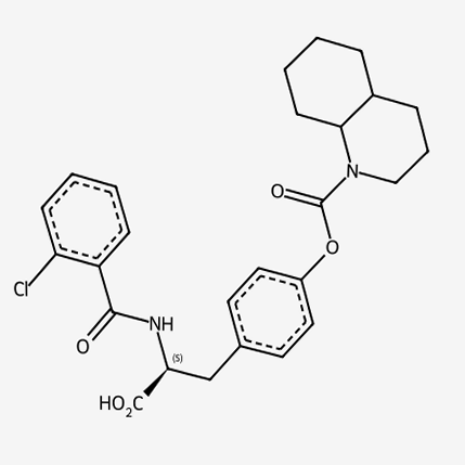 O=C(N[C@@H](Cc1ccc(OC(=O)N2CCCC3CCCCC32)cc1)C(=O)O)c1ccccc1Cl